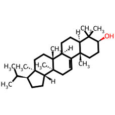 CC(C)[C@@H]1CC[C@@H]2[C@]1(C)CC[C@]1(C)[C@H]3CC[C@H]4C(C)(C)[C@@H](O)CC[C@]4(C)C3=CC[C@@]21C